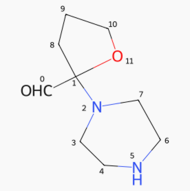 O=CC1(N2CCNCC2)CCCO1